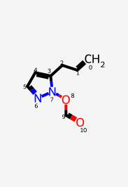 C=CCc1ccnn1OC=O